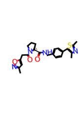 Cc1cc(CC(=O)N2CCC[C@H]2C(=O)NCc2ccc(-c3sc(C)nc3C)cc2)on1